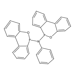 c1ccc(N(P2Oc3ccccc3-c3ccccc32)P2Oc3ccccc3-c3ccccc32)cc1